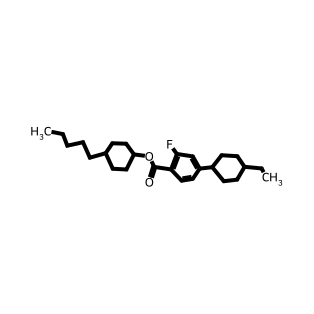 CCCCCC1CCC(OC(=O)c2ccc(C3CCC(CC)CC3)cc2F)CC1